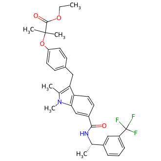 CCOC(=O)C(C)(C)Oc1ccc(Cc2c(C)n(C)c3cc(C(=O)N[C@@H](C)c4cccc(C(F)(F)F)c4)ccc23)cc1